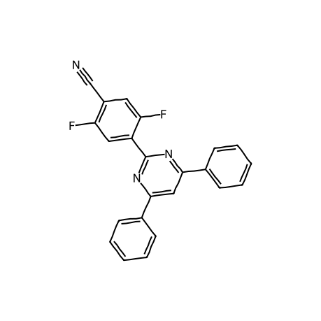 N#Cc1cc(F)c(-c2nc(-c3ccccc3)cc(-c3ccccc3)n2)cc1F